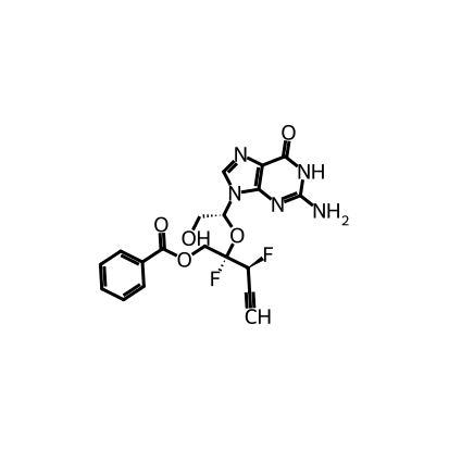 C#C[C@H](F)[C@@](F)(COC(=O)c1ccccc1)O[C@H](CO)n1cnc2c(=O)[nH]c(N)nc21